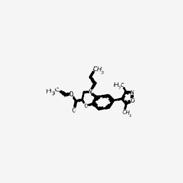 CCCN1CC(C(=O)OCC)Oc2ccc(-c3c(C)noc3C)cc21